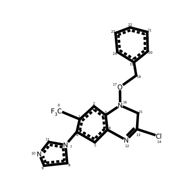 FC(F)(F)c1cc2c(cc1-n1ccnc1)N=C(Cl)CN2OCc1ccccc1